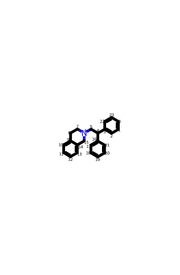 c1ccc(C(CN2CCc3ccccc3C2)c2ccccc2)cc1